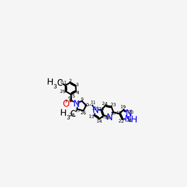 Cc1cccc(C(=O)N2C[C@H](Cn3ccc4nc(-c5cn[nH]c5)ccc43)C[C@H]2C)c1